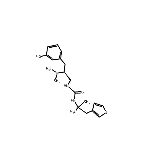 CN(C)[C@H](CNC(=O)NC(C)(C)Cc1ccsc1)Cc1cccc(O)c1